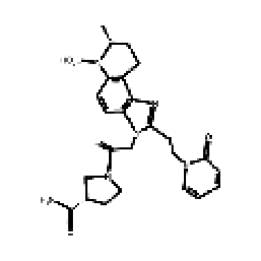 C[C@H]1CCc2c(ccc3c2nc(CCn2ccccc2=O)n3CC(=O)N2CC[C@H](C(N)=O)C2)N1C(=O)O